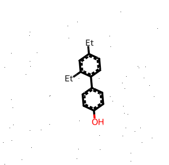 CCc1ccc(-c2ccc(O)cc2)c(CC)c1